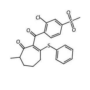 CC1CCCC(Sc2ccccc2)=C(C(=O)c2ccc(S(C)(=O)=O)cc2Cl)C1=O